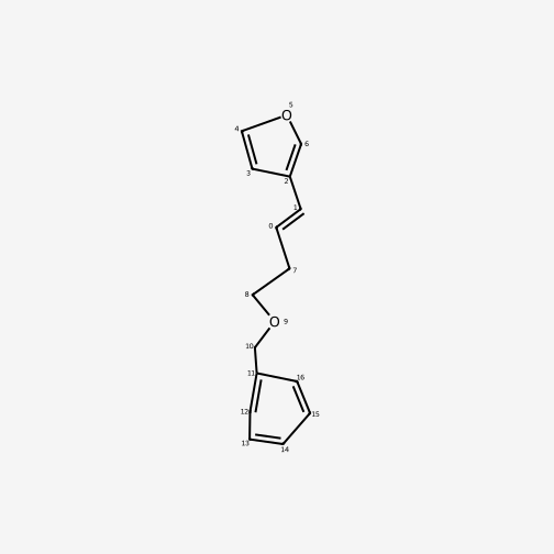 C(=Cc1ccoc1)CCOCc1ccccc1